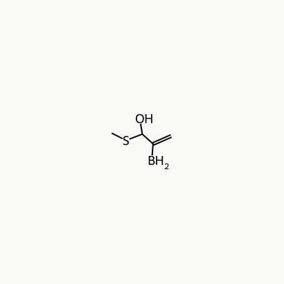 BC(=C)C(O)SC